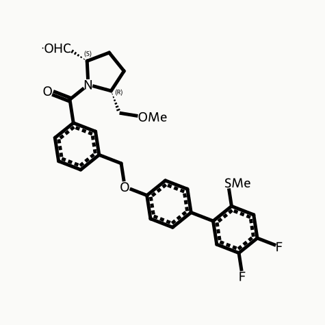 COC[C@H]1CC[C@@H]([C]=O)N1C(=O)c1cccc(COc2ccc(-c3cc(F)c(F)cc3SC)cc2)c1